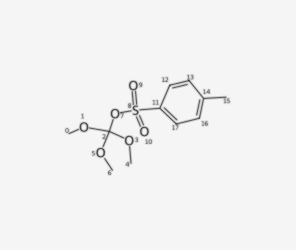 COC(OC)(OC)OS(=O)(=O)c1ccc(C)cc1